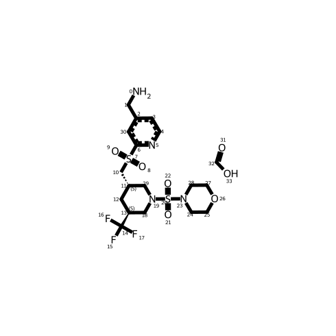 NCc1ccnc(S(=O)(=O)C[C@H]2C[C@H](C(F)(F)F)CN(S(=O)(=O)N3CCOCC3)C2)c1.O=CO